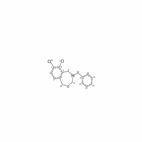 Clc1ccc2c(c1Cl)CN(Cc1ccccc1)CCC2